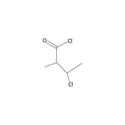 CC(Cl)C(C)C(=O)Cl